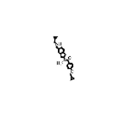 CN(C(=O)c1ccc(OCC2CC2)cc1)[C@@H]1Cc2ccc(CNCC3CC3)cc2C1